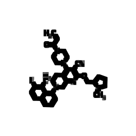 C=CC(=O)N1CCN(c2c(C#N)c(OCC3CCCN3C)nc3c2CCN(c2cccc4ccc(F)c(C)c24)C3)CC1